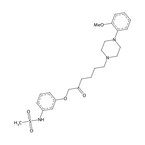 COc1ccccc1N1CCN(CCCCC(=O)COc2cccc(NS(C)(=O)=O)c2)CC1